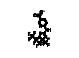 O=[N+]([O-])c1ccc(NC2=NC(C(F)(F)F)(C(F)(F)F)C(=C(F)C(F)(F)F)S2)nc1